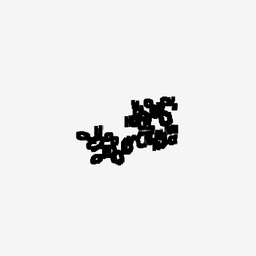 Cn1c(=O)n(CCC(C)(C)O)c2cc(Nc3nc(N4CCC(CN5CCN(c6cccc7c6C(=O)N(C6CCC(=O)NC6=O)C7=O)CC5)CC4)ncc3Cl)ccc21